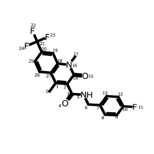 Cc1c(C(=O)NCc2ccc(F)cc2)c(=O)n(C)c2cc(C(F)(F)F)ccc12